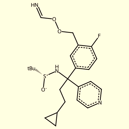 CC(C)(C)[S@@+]([O-])NC(CCC1CC1)(c1ccncc1)c1ccc(F)c(COOC=N)c1